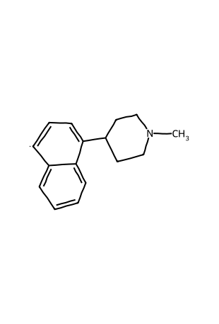 CN1CCC(c2cc[c]c3ccccc23)CC1